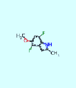 COc1cc(F)c2[nH]c(C)cc2c1F